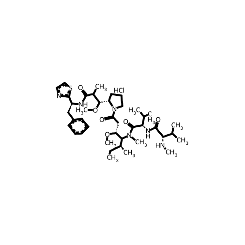 CC[C@H](C)C([C@@H](CC(=O)N1CCC[C@H]1C(OC)C(C)C(=O)N[C@@H](Cc1ccccc1)c1nccs1)OC)N(C)C(=O)[C@@H](NC(=O)[C@@H](NC)C(C)C)C(C)C.Cl